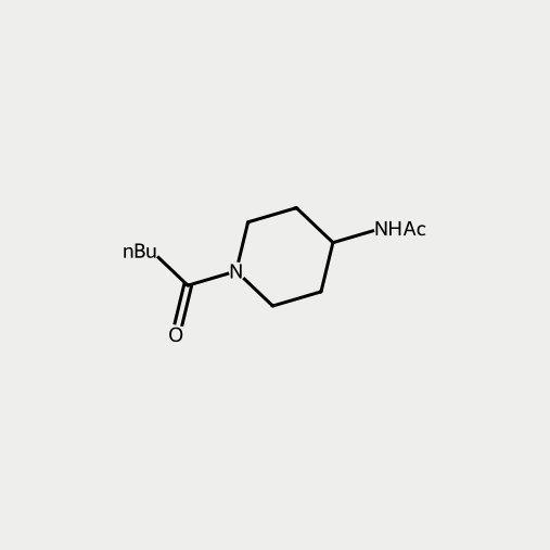 CCCCC(=O)N1CCC(NC(C)=O)CC1